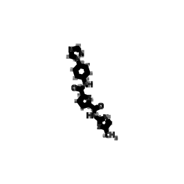 Cc1cnc(NC(=O)c2ccc(C(=O)Nc3ccc(-n4cncn4)cc3)s2)s1